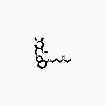 C=C(/C=C(/OC)C(=C)CN1Cc2cccc(OCCCNCC)c2C1)OC